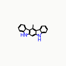 Cc1c2c(cc3[nH]c4ccccc4c13)[nH]c1ccccc12